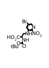 CC(C)(C)OC(=O)NC(CNc1cc(Br)cnc1[N+](=O)[O-])C(=O)O